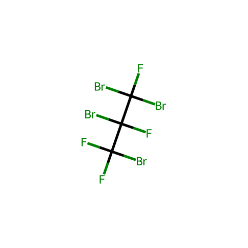 FC(F)(Br)C(F)(Br)C(F)(Br)Br